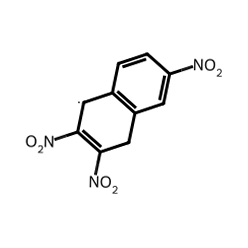 O=[N+]([O-])C1=C([N+](=O)[O-])Cc2cc([N+](=O)[O-])ccc2[CH]1